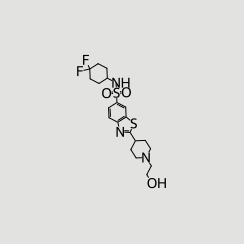 O=S(=O)(NC1CCC(F)(F)CC1)c1ccc2nc(C3CCN(CCO)CC3)sc2c1